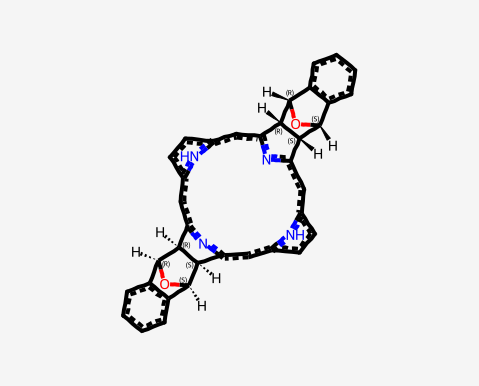 c1ccc2c(c1)[C@H]1O[C@@H]2[C@H]2c3cc4ccc(cc5nc(cc6ccc(cc(n3)[C@H]21)[nH]6)[C@@H]1[C@H]5[C@H]2O[C@@H]1c1ccccc12)[nH]4